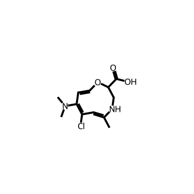 C\C1=C/C(Cl)=C(N(C)C)\C=C\OC(C(=O)O)CN1